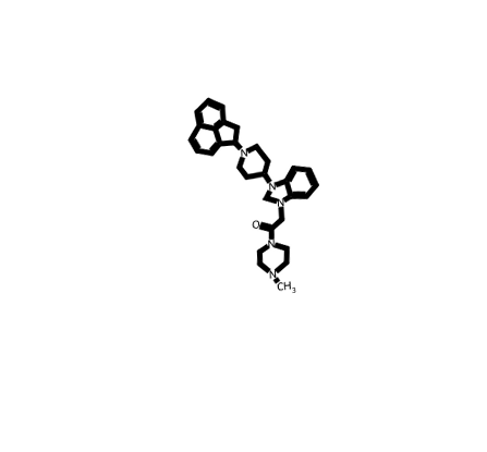 CN1CCN(C(=O)CN2[CH]N(C3CCN(C4Cc5cccc6cccc4c56)CC3)c3ccccc32)CC1